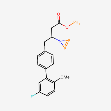 COc1ccc(F)cc1-c1ccc(CC(CC(=O)OP)N2P=P2)cc1